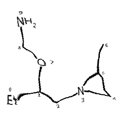 CCC(CN1CC1C)OCN